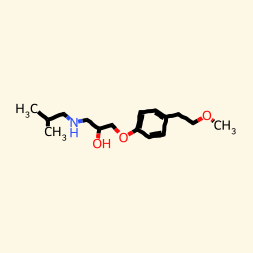 COCCc1ccc(OCC(O)CNCC(C)C)cc1